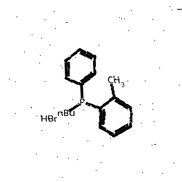 Br.CCCCP(c1ccccc1)c1ccccc1C